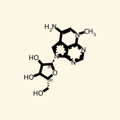 CN1C=C(N)c2cn([C@@H]3O[C@H](CO)C(O)C3O)c3ncnc1c23